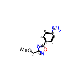 COCc1noc(-c2ccc(N)cc2)n1